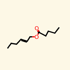 CCCC=CCOC(=O)CCCC